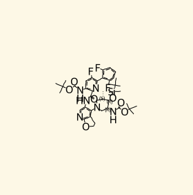 C[C@H]1CN(c2c(NC(=O)c3nc(-c4c(F)cccc4F)c(F)cc3NC(=O)OC(C)(C)C)cnc3c2CCO3)C[C@@H](NC(=O)OC(C)(C)C)[C@@H]1O[Si](C)(C)C(C)(C)C